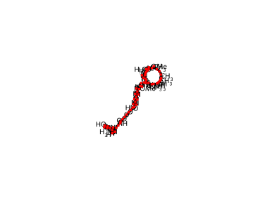 CO[C@H]1C[C@@H]2CC[C@@H](C)[C@@](O)(O2)C(=O)C(=O)N2CCCC[C@H]2C(=O)O[C@H]([C@H](N)C[C@@H]2CC[C@H](n3cc(-c4cnc(N5CCN(c6ncc(C(=O)NCCOCCOCCOCCC(=O)NCCCCn7nc(-c8cc9cc(O)ccc9[nH]8)c8c(N)ncnc87)cn6)CC5)nc4)nn3)[C@H](OC)C2)CC(=O)[C@H](C)/C=C(\C)[C@@H](O)[C@@H](O)C(=O)[C@H](C)C[C@H](C)/C=C/C=C/C=C/1C